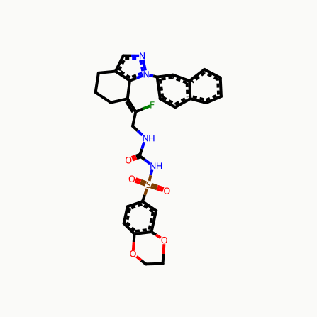 O=C(NCC(F)=C1CCCc2cnn(-c3ccc4ccccc4c3)c21)NS(=O)(=O)c1ccc2c(c1)OCCO2